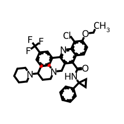 CCOc1ccc2c(C(=O)NC3(c4ccccc4)CC3)c(CN3CCC(N4CCCCC4)CC3)c(-c3cccc(C(F)(F)F)c3)nc2c1Cl